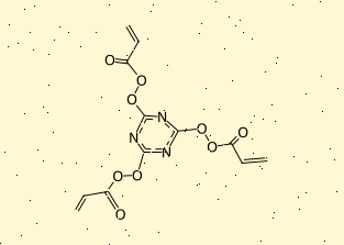 C=CC(=O)OOc1nc(OOC(=O)C=C)nc(OOC(=O)C=C)n1